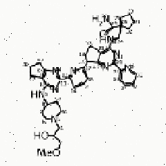 COCC(O)CN1CCC(Nc2nc(-c3cccc(C4CCc5c(NCC6(C(N)=O)CCCC6)nc(-c6ccccn6)nc54)n3)nc3c2CCC3)CC1